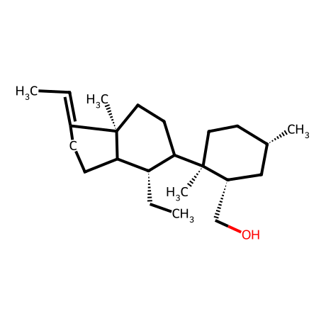 C/C=C1\CCC2[C@@H](CC)C([C@@]3(C)CC[C@H](C)C[C@@H]3CO)CC[C@]12C